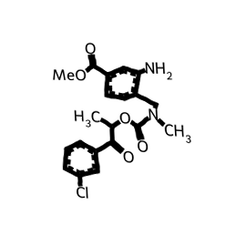 COC(=O)c1ccc(CN(C)C(=O)OC(C)C(=O)c2cccc(Cl)c2)c(N)c1